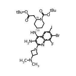 CN(C)C1CN(c2nc3c(F)c(Br)c(I)cc3c(N[C@H]3CCN(C(=O)OC(C)(C)C)[C@H](CC(=O)OC(C)(C)C)C3)c2N)C1